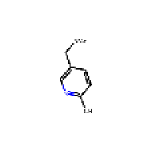 CNCc1ccc(C#N)nc1